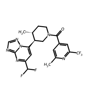 Cc1cc(C(=O)N2CC[C@@H](C)[C@H](c3cc(C(F)F)nc4ncnn34)C2)cc(C(F)(F)F)n1